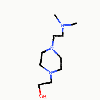 CN(C)CCN1CCN(C[CH]O)CC1